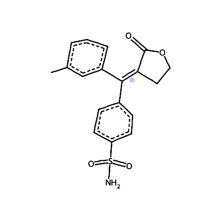 Cc1cccc(/C(=C2/CCOC2=O)c2ccc(S(N)(=O)=O)cc2)c1